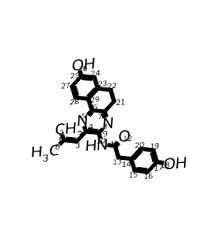 CC(C)=Cc1nc2c(nc1NC(=O)Cc1ccc(O)cc1)CCc1cc(O)ccc1-2